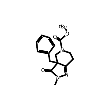 CN1N=C2CCN(C(=O)OC(C)(C)C)CC2(Cc2ccccc2)C1=O